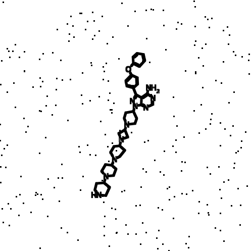 Nc1ncnc2c1c(-c1ccc(Oc3ccccc3)cc1)nn2C1CCN(C2CN(C3CCN(C4CCN(C5CCNCC5)CC4)CC3)C2)CC1